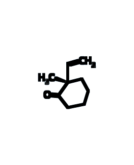 C=C[C@]1(C)CCCCC1=O